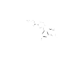 CNC(=O)C1CCCN(c2cc(Cl)cc(N)c2C=N)C1